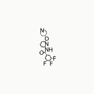 CN1CCC(Oc2cccc(NC(=O)c3cc(F)c(F)c(F)c3)n2)CC1